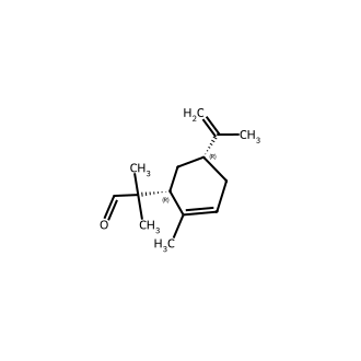 C=C(C)[C@@H]1CC=C(C)[C@H](C(C)(C)C=O)C1